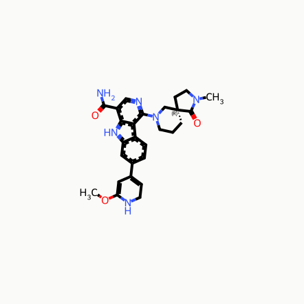 COC1=CC(c2ccc3c(c2)[nH]c2c(C(N)=O)cnc(N4CCC[C@@]5(CCN(C)C5=O)C4)c23)=CCN1